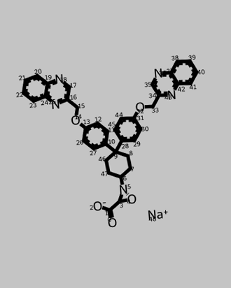 O=C([O-])C1ON1C1CCC(c2ccc(OCc3cnc4ccccc4n3)cc2)(c2ccc(OCc3cnc4ccccc4n3)cc2)CC1.[Na+]